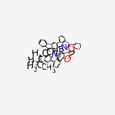 CC(C)(C)c1ccc(N2c3ccc4oc5ccccc5c4c3B3c4c(cc5c(c42)C(C)(C)c2ccccc2-5)-c2cccc4c5c6ccccc6oc5n3c24)c(-c2ccccc2)c1